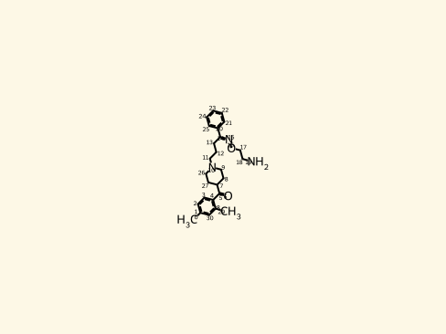 Cc1ccc(C(=O)C2CCN(CCCC(=NOCCN)c3ccccc3)CC2)c(C)c1